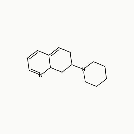 C1=CC2=CCC(N3CCCCC3)CC2N=C1